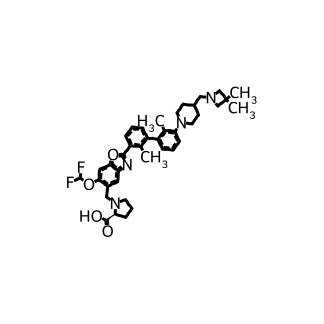 Cc1c(-c2nc3cc(CN4CCC[C@H]4C(=O)O)c(OC(F)F)cc3o2)cccc1-c1cccc(N2CCC(CN3CC(C)(C)C3)CC2)c1C